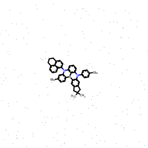 CC1(C)Cc2cc3c(cc2C1)N(c1ccc(C(C)(C)C)cc1)c1cccc2c1B3c1ccc(C(C)(C)C)cc1N2c1ccc2c3c(cccc13)CCC2